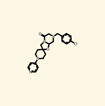 O=C1CN(Cc2ccc(Cl)cc2)CC2OC3(CCN(c4ccncc4)CC3)CN12